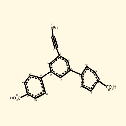 CCCCC#Cc1cc(-c2ccc(C(=O)O)cc2)cc(-c2ccc(C(=O)O)cc2)c1